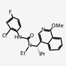 CCN(C(=O)Nc1ccc(F)cc1Cl)[C@H](c1cnc(OC)c2ccccc12)C(C)C